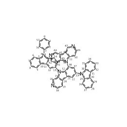 c1ccc(-n2c3ccccc3c3cc(-n4c5cnccc5c5cc(-n6c7ccccc7c7ccccc76)cc(-n6c7ccncc7c7cnccc76)c54)ccc32)cc1